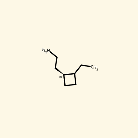 CCC1CC[C@H]1CCN